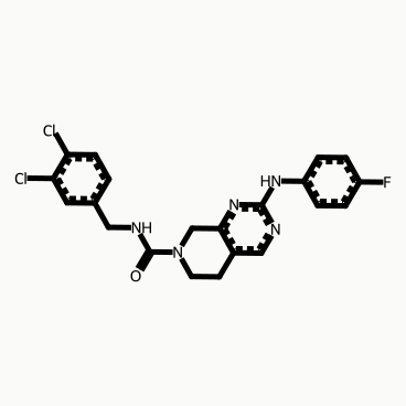 O=C(NCc1ccc(Cl)c(Cl)c1)N1CCc2cnc(Nc3ccc(F)cc3)nc2C1